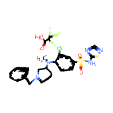 CN(c1ccc(S(=O)(=O)Nc2ncns2)cc1Cl)C1CCN(Cc2ccccc2)C1.O=C(O)C(F)(F)F